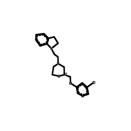 Clc1cncc(OC[C@@H]2CN(CCN3CCc4ccccc43)CCO2)c1